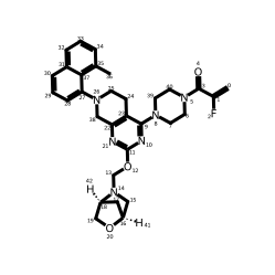 C=C(F)C(=O)N1CCN(c2nc(OCN3C[C@@H]4C[C@H]3CO4)nc3c2CCN(c2cccc4cccc(C)c24)C3)CC1